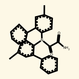 Cc1ccc(N(C(=O)C(N)=O)c2ccc(C)cc2-c2ccccc2)c(-c2ccccc2)c1